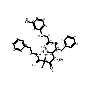 CC(C)[C@H](C(=O)C(F)(F)C(=O)NCCc1ccccc1)C(N)[C@H](Cc1ccccc1)NC(=O)COc1cccc(Cl)c1